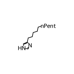 CCCCCCCCCCc1c[nH]cn1